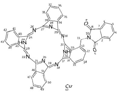 O=C1c2ccccc2C(=O)N1Cc1cccc2c3nc4nc(nc5[nH]c(nc6nc(nc([nH]3)c12)-c1ccccc1-6)c1ccccc51)-c1ccccc1-4.[Cu]